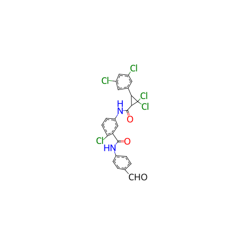 O=Cc1ccc(NC(=O)c2cc(NC(=O)C3C(c4cc(Cl)cc(Cl)c4)C3(Cl)Cl)ccc2Cl)cc1